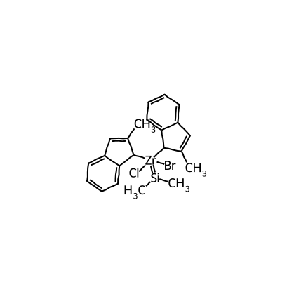 CC1=Cc2ccccc2[CH]1[Zr]([Cl])([Br])([CH]1C(C)=Cc2ccccc21)=[Si](C)C